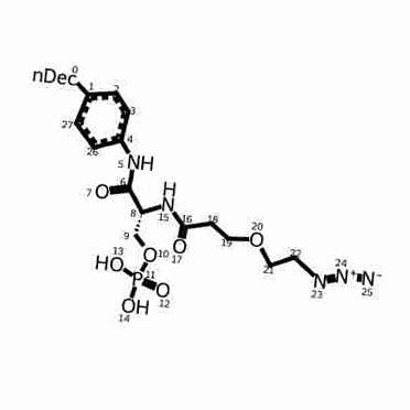 CCCCCCCCCCc1ccc(NC(=O)[C@@H](COP(=O)(O)O)NC(=O)CCOCCN=[N+]=[N-])cc1